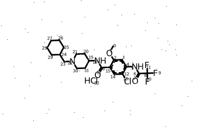 COc1cc(NC(=O)C(F)(F)F)c(Cl)cc1C(=O)NC1CCN(CC2CCCCC2)CC1.Cl